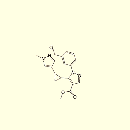 COC(=O)c1cnn(-c2cccc(CCl)c2)c1C1CC1c1cnn(C)c1